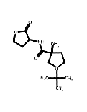 CC(C)(C)N1CCC(N)(C(=O)N[C@H]2CCOC2=O)C1